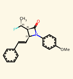 COc1ccc(N2C(=O)[C@H]([C@@H](C)F)[C@@H]2C=Cc2ccccc2)cc1